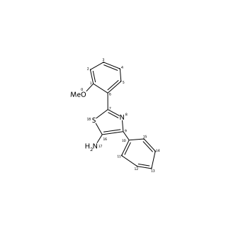 COc1ccccc1-c1nc(-c2ccccc2)c(N)s1